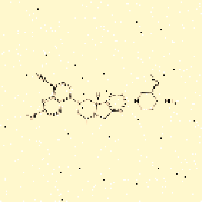 Bc1ccc2c(N3C[C@@H](C)N4Cc5nc(N6CC[C@@H](N)[C@H](OC)C6)ccc5[C@H]4C3)ccc(C#N)c2n1